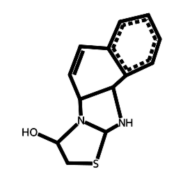 OC1CSC2NC3c4ccccc4C=CC3N12